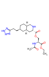 CCOC(=O)[C@H](COC(=O)[C@@H]1C[C@H]2C[C@@H](CCc3nn[nH]n3)CC[C@H]2CN1)NC(C)=O